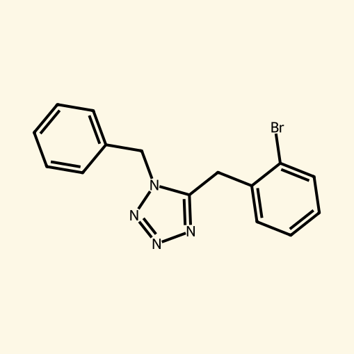 Brc1ccccc1Cc1nnnn1Cc1ccccc1